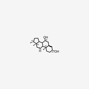 C[C@H]1CCC2C3C(NC[C@@]21C)[C@@]1(C)CC[C@H](O)C=C1C[C@@H]3O